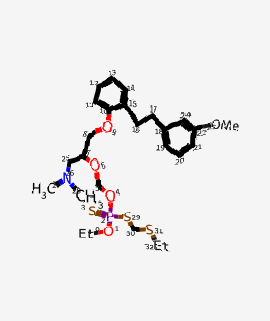 CCOP(=S)(OCOC(COc1ccccc1CCc1cccc(OC)c1)CN(C)C)SCSCC